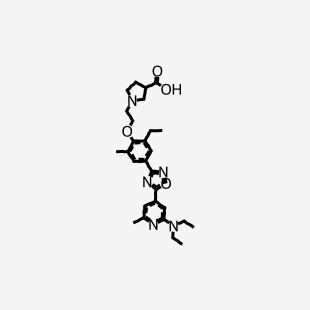 CCc1cc(-c2noc(-c3cc(C)nc(N(CC)CC)c3)n2)cc(C)c1OCCN1CCC(C(=O)O)C1